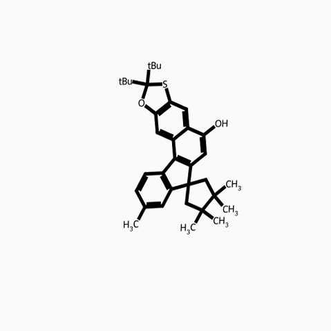 Cc1ccc2c(c1)C1(CC(C)(C)C(C)(C)C1)c1cc(O)c3cc4c(cc3c1-2)OC(C(C)(C)C)(C(C)(C)C)S4